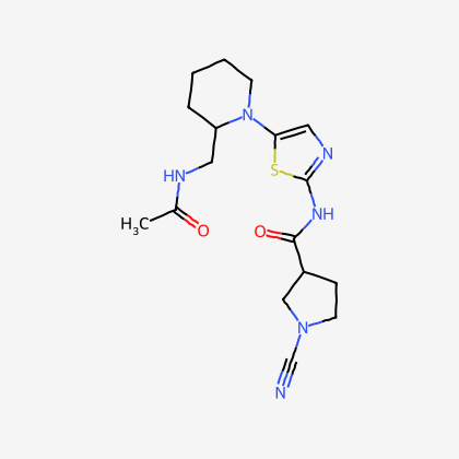 CC(=O)NCC1CCCCN1c1cnc(NC(=O)C2CCN(C#N)C2)s1